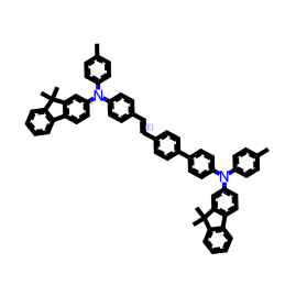 Cc1ccc(N(c2ccc(/C=C/c3ccc(-c4ccc(N(c5ccc(C)cc5)c5ccc6c(c5)C(C)(C)c5ccccc5-6)cc4)cc3)cc2)c2ccc3c(c2)C(C)(C)c2ccccc2-3)cc1